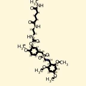 CNC(=O)CCCC(=O)NCCNC(=O)Oc1cc(CS(=O)(=O)/C=C/c2c(OC)cc(OC)cc2OC)ccc1OC